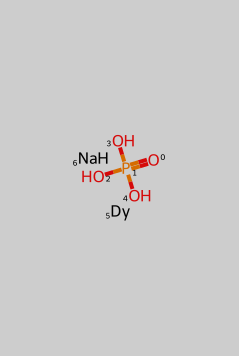 O=P(O)(O)O.[Dy].[NaH]